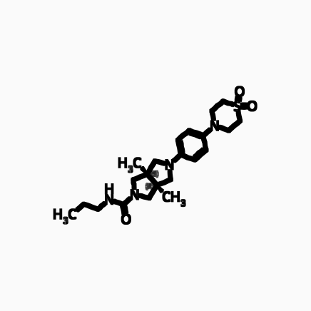 CCCNC(=O)N1C[C@@]2(C)CN(c3ccc(N4CCS(=O)(=O)CC4)cc3)C[C@@]2(C)C1